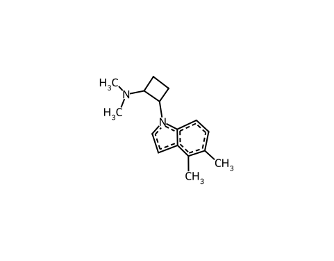 Cc1ccc2c(ccn2C2CCC2N(C)C)c1C